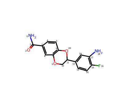 NC(=O)c1ccc2c(c1)OCC(c1ccc(F)c(N)c1)O2